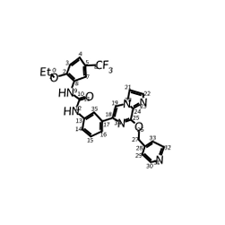 CCOc1ccc(C(F)(F)F)cc1NC(=O)Nc1cccc(-c2cn3ccnc3c(OCc3ccncc3)n2)c1